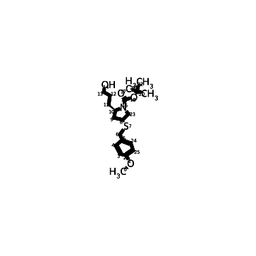 COc1ccc(CS[C@@H]2C[C@@H](CCCO)N(C(=O)OC(C)(C)C)C2)cc1